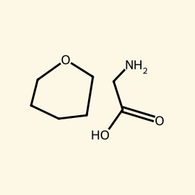 C1CCOCC1.NCC(=O)O